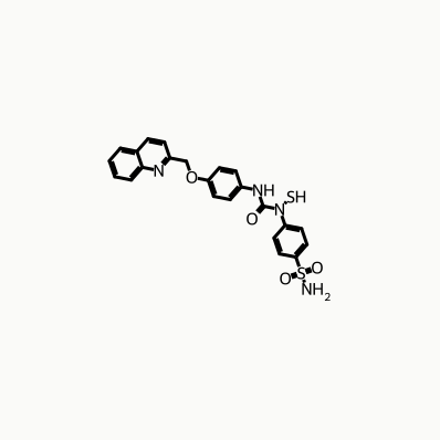 NS(=O)(=O)c1ccc(N(S)C(=O)Nc2ccc(OCc3ccc4ccccc4n3)cc2)cc1